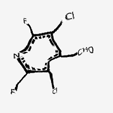 O=Cc1c(Cl)c(F)nc(F)c1Cl